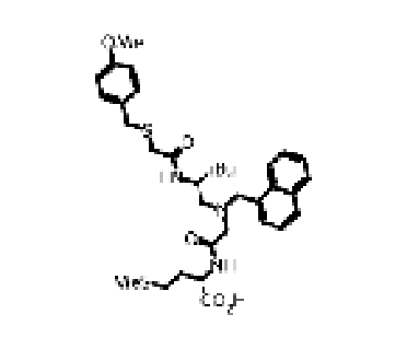 CC[C@H](C)[C@@H](CN(CC(=O)N[C@@H](CCSC)C(=O)O)Cc1cccc2ccccc12)NC(=O)CSCc1ccc(OC)cc1